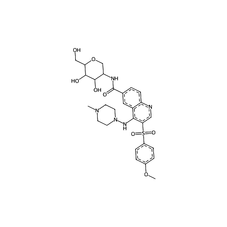 COc1ccc(S(=O)(=O)c2cnc3ccc(C(=O)NC4COC(CO)C(O)C4O)cc3c2NN2CCN(C)CC2)cc1